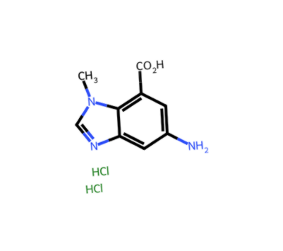 Cl.Cl.Cn1cnc2cc(N)cc(C(=O)O)c21